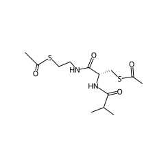 CC(=O)SCCNC(=O)[C@H](CSC(C)=O)NC(=O)C(C)C